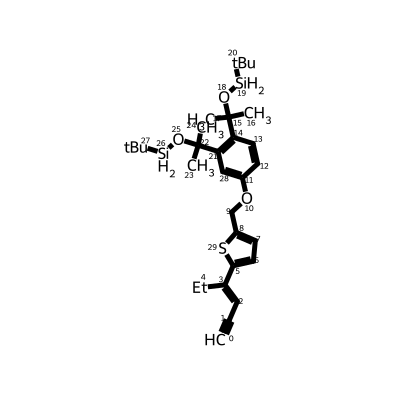 C#CC=C(CC)c1ccc(COc2ccc(C(C)(C)O[SiH2]C(C)(C)C)c(C(C)(C)O[SiH2]C(C)(C)C)c2)s1